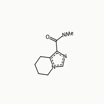 CNC(=O)c1ncn2c1CCCC2